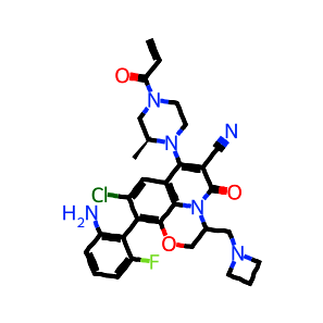 C=CC(=O)N1CCN(c2c(C#N)c(=O)n3c4c(c(-c5c(N)cccc5F)c(Cl)cc24)OCC3CN2CCC2)[C@@H](C)C1